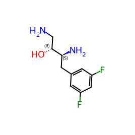 NC[C@@H](O)[C@@H](N)Cc1cc(F)cc(F)c1